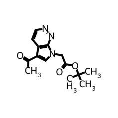 CC(=O)c1cn(CC(=O)OC(C)(C)C)c2nnccc12